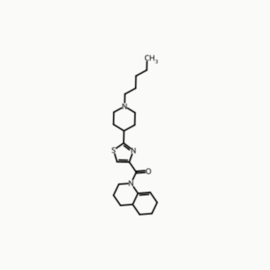 CCCCCN1CCC(c2nc(C(=O)N3CCCC4CCCC=C43)cs2)CC1